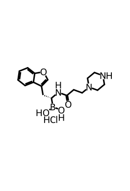 Cl.O=C(CCN1CCNCC1)N[C@@H](Cc1coc2ccccc12)B(O)O